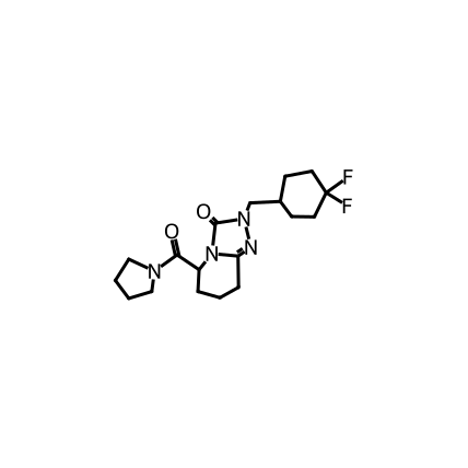 O=C(C1CCCc2nn(CC3CCC(F)(F)CC3)c(=O)n21)N1CCCC1